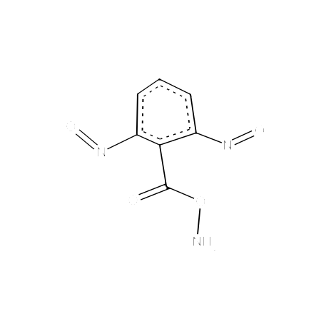 NOC(=O)c1c(N=O)cccc1N=O